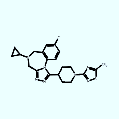 Cc1nc(N2CCC(c3nnc4n3-c3ccc(Cl)cc3CN(C3CC3)C4)CC2)no1